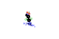 CS(=O)(=O)n1ccc2cc(-c3c(Cl)cc(-n4nc(N)nc4N)cc3Cl)ccc21